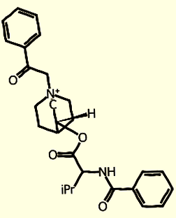 CC(C)C(NC(=O)c1ccccc1)C(=O)O[C@H]1C[N+]2(CC(=O)c3ccccc3)CCC1CC2